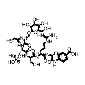 C[C@@H](NC(=O)[C@@H](CCCNC(=N)N)NC(=O)[C@H](CO)NC(=O)[C@H](COP(=O)(O)O)NC(=O)[C@H](CO[C@H]1OC(CO)[C@H](O)C(O)[C@H]1O)NC(=O)CS)C(=O)Nc1ccc(C(=O)O)cc1